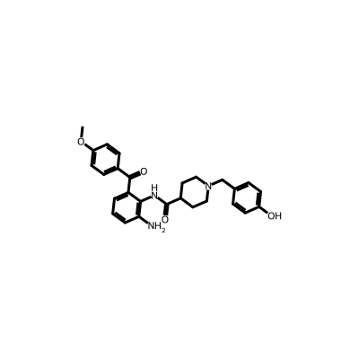 COc1ccc(C(=O)c2cccc(N)c2NC(=O)C2CCN(Cc3ccc(O)cc3)CC2)cc1